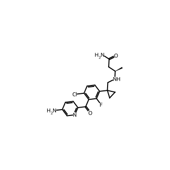 C[C@H](CC(N)=O)NCC1(c2ccc(Cl)c(C(=O)c3ccc(N)cn3)c2F)CC1